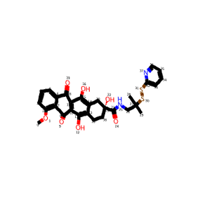 COc1cccc2c1C(=O)c1c(O)c3c(c(O)c1C2=O)C[C@@](O)(C(=O)NCC(C)(C)SSc1ccccn1)CC3